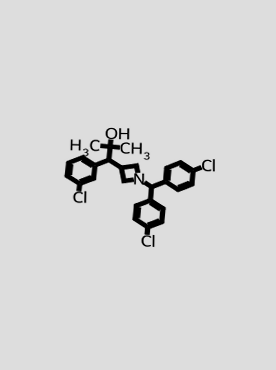 CC(C)(O)C(c1cccc(Cl)c1)C1CN(C(c2ccc(Cl)cc2)c2ccc(Cl)cc2)C1